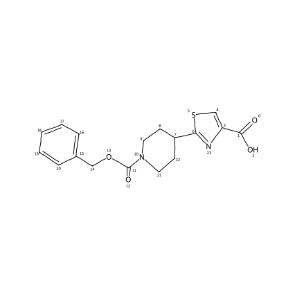 O=C(O)c1csc(C2CCN(C(=O)OCc3ccccc3)CC2)n1